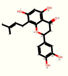 CC(C)=CCc1c(O)cc(O)c2c1OC(c1ccc(O)c(O)c1)CC2=O